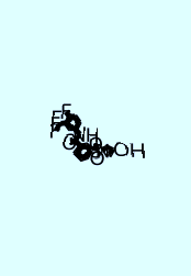 O=C(Nc1ccc(F)c(C(F)F)c1)c1cccc(S(=O)(=O)N2CC(O)C2)c1